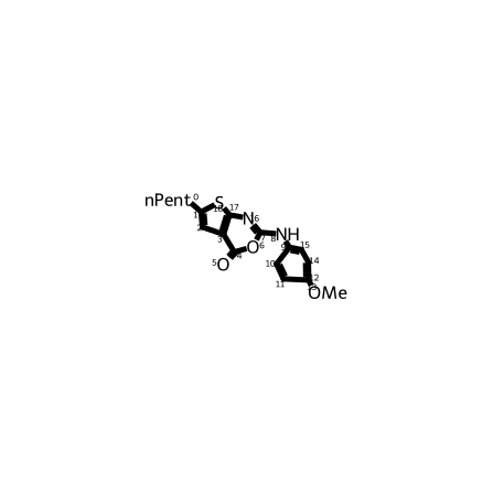 CCCCCc1cc2c(=O)oc(Nc3ccc(OC)cc3)nc2s1